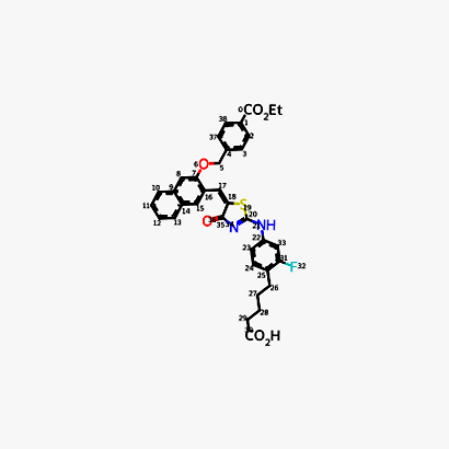 CCOC(=O)c1ccc(COc2cc3ccccc3cc2C=C2SC(Nc3ccc(CCCCC(=O)O)c(F)c3)=NC2=O)cc1